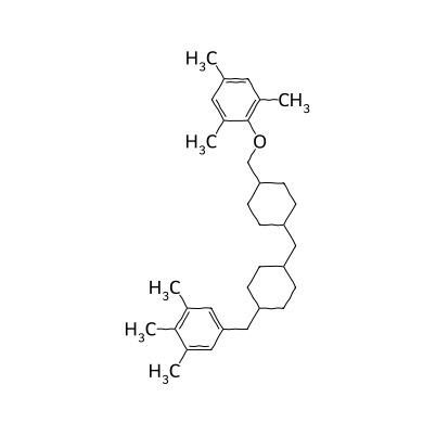 Cc1cc(C)c(OCC2CCC(CC3CCC(Cc4cc(C)c(C)c(C)c4)CC3)CC2)c(C)c1